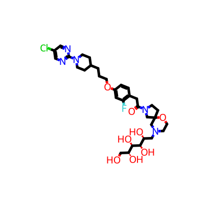 O=C(Cc1ccc(OCCCC2CCN(c3ncc(Cl)cn3)CC2)cc1F)N1CCC2(CN(C[C@H](O)[C@@H](O)[C@H](O)[C@H](O)CO)CCO2)C1